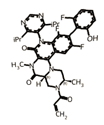 C=CC(=O)N1C[C@@H]2C(=O)N(C)c3c(c4cc(F)c(-c5c(O)cccc5F)c(F)c4n(-c4c(C(C)C)ncnc4C(C)C)c3=O)N2C[C@H]1C